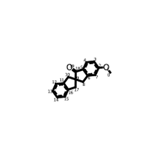 COc1ccc2c(c1)CC1(Cc3ccccc3C1)C2=O